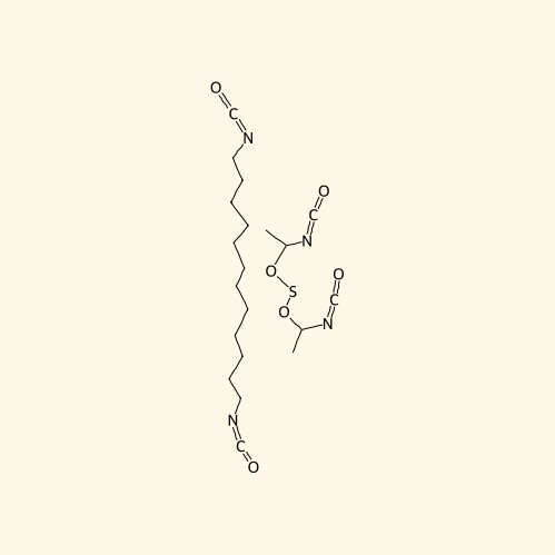 CC(N=C=O)OSOC(C)N=C=O.O=C=NCCCCCCCCCCCCN=C=O